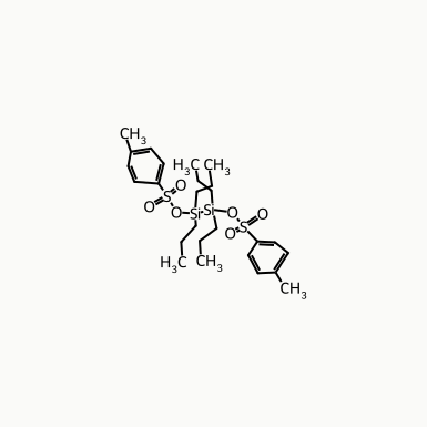 CCC[Si](CCC)(OS(=O)(=O)c1ccc(C)cc1)[Si](CCC)(CCC)OS(=O)(=O)c1ccc(C)cc1